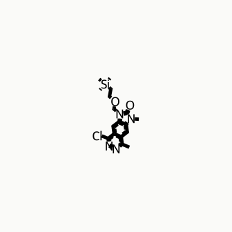 Cc1nnc(Cl)c2cc3c(cc12)n(C)c(=O)n3COCC[Si](C)(C)C